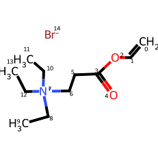 C=COC(=O)CC[N+](CC)(CC)CC.[Br-]